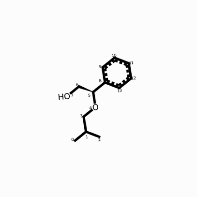 CC(C)CO[C@@H](CO)c1ccccc1